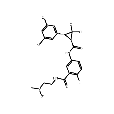 C[S+]([O-])CCNC(=O)c1cc(NC(=O)[C@H]2[C@H](c3cc(Cl)cc(Cl)c3)C2(Cl)Cl)ccc1Cl